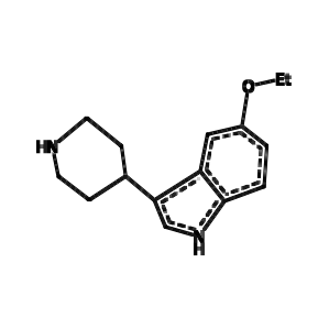 CCOc1ccc2[nH]cc(C3CCNCC3)c2c1